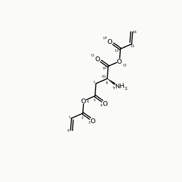 C=CC(=O)OC(=O)C[C@H](N)C(=O)OC(=O)C=C